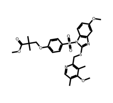 COC(=O)C(C)(C)COc1ccc(S(=O)(=O)n2c(SCc3ncc(C)c(OC)c3C)nc3cc(OC)ccc32)cc1